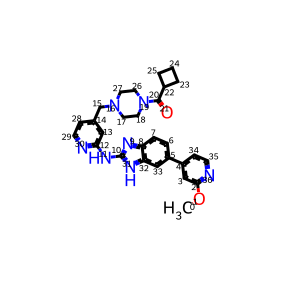 COc1cc(-c2ccc3nc(Nc4cc(CN5CCN(C(=O)C6CCC6)CC5)ccn4)[nH]c3c2)ccn1